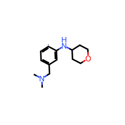 CN(C)Cc1cc[c]c(NC2CCOCC2)c1